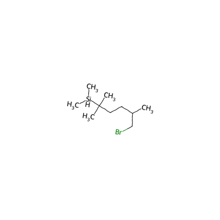 CC(CBr)CCC(C)(C)[SiH](C)C